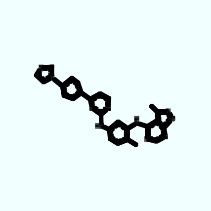 Cc1ccc(Nc2nccc(-c3ccc(-n4ccnc4)cc3)n2)cc1Nc1ncnc2onc(C)c12